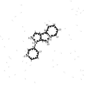 c1cncc(-n2ncc3c2nn2ccccc32)c1